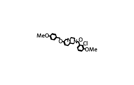 COc1ccc(COC2=CCC3CN(C(=O)c4cccc(OC)c4Cl)CCN3C2)cc1